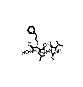 CC(C)CC(C(=O)NN1C(=O)C(C(C)C)NC1=S)[C@@H](CCCc1ccccc1)C(=O)NO